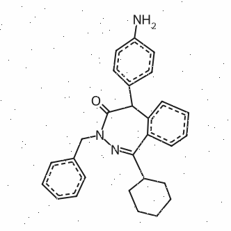 Nc1ccc(C2C(=O)N(Cc3ccccc3)N=C(C3CCCCC3)c3ccccc32)cc1